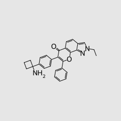 CCn1cc2ccc3c(=O)c(-c4ccc(C5(N)CCC5)cc4)c(-c4ccccc4)oc3c2n1